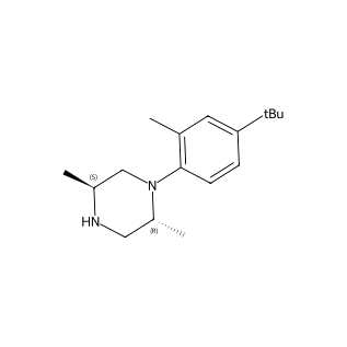 Cc1cc(C(C)(C)C)ccc1N1C[C@H](C)NC[C@H]1C